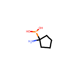 NC1(P(O)O)CCCC1